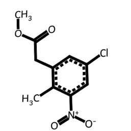 COC(=O)Cc1cc(Cl)cc([N+](=O)[O-])c1C